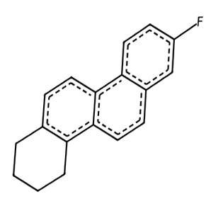 Fc1ccc2c(ccc3c4c(ccc32)CCCC4)c1